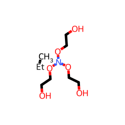 CCC.OCCON(OCCO)OCCO